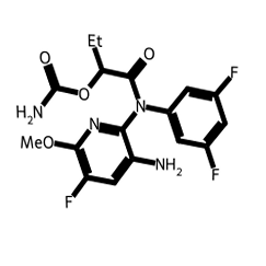 CCC(OC(N)=O)C(=O)N(c1cc(F)cc(F)c1)c1nc(OC)c(F)cc1N